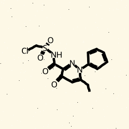 CCc1cc(=O)c(C(=O)NS(=O)(=O)CCl)nn1-c1ccccc1